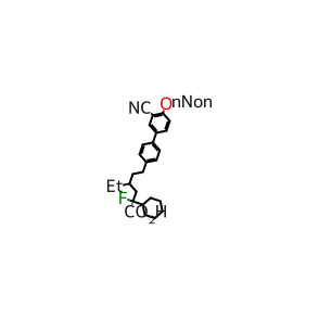 CCCCCCCCCOc1ccc(-c2ccc(CCC(CC)C[C@@](F)(C(=O)O)C3CCCCC3)cc2)cc1C#N